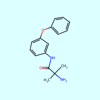 CC(C)(N)C(=O)Nc1cccc(Oc2ccccc2)c1